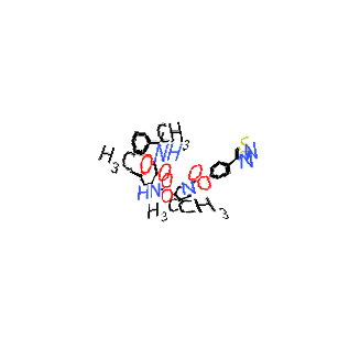 CCCC[C@H](NC(=O)O[C@@H]1CN(C(=O)Oc2ccc(-c3csnn3)cc2)CC1(C)C)C(=O)C(=O)N[C@H](C)c1ccccc1